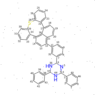 c1ccc(C2=NC(c3cccc(-c4ccc5c6c(cccc46)-c4ccccc4Sc4ccccc4-5)c3)NC(c3ccccc3)N2)cc1